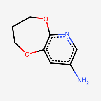 Nc1cnc2c(c1)OCCCO2